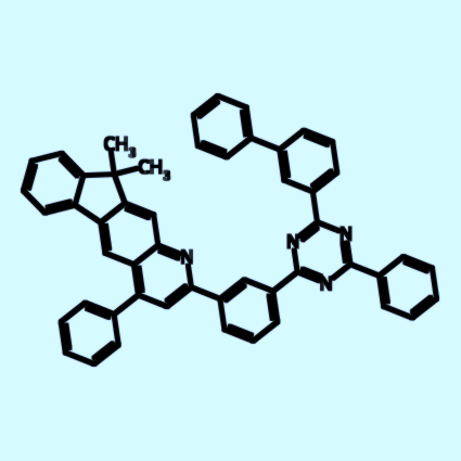 CC1(C)c2ccccc2-c2cc3c(-c4ccccc4)cc(-c4cccc(-c5nc(-c6ccccc6)nc(-c6cccc(-c7ccccc7)c6)n5)c4)nc3cc21